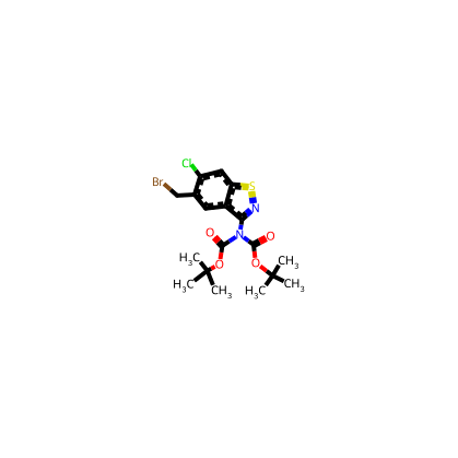 CC(C)(C)OC(=O)N(C(=O)OC(C)(C)C)c1nsc2cc(Cl)c(CBr)cc12